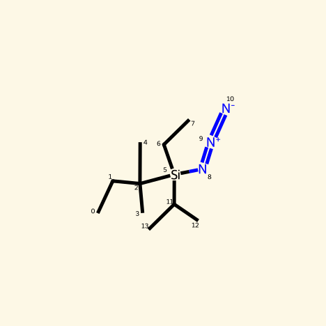 CCC(C)(C)[Si](CC)(N=[N+]=[N-])C(C)C